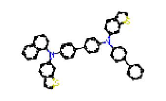 c1ccc(-c2ccc(N(c3ccc(-c4ccc(N(c5ccc6ccsc6c5)c5cccc6ccccc56)cc4)cc3)c3ccc4ccsc4c3)cc2)cc1